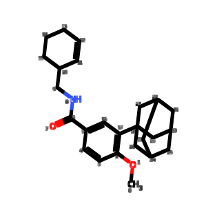 COc1ccc(C(=O)NCC2C=CCCC2)cc1C12CC3CC(CC(C3)C1)C2